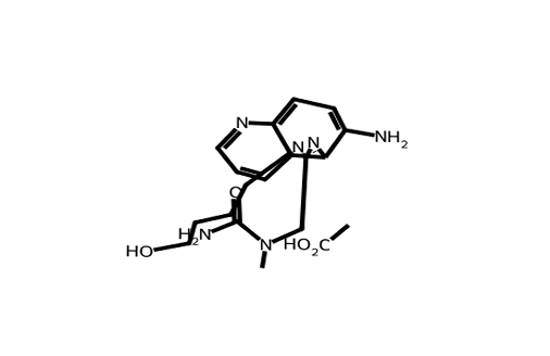 CC(=O)O.CN(CC1N=C2C(N)=CC=C3N=CC=CC32N1CCCCO)C(N)=O